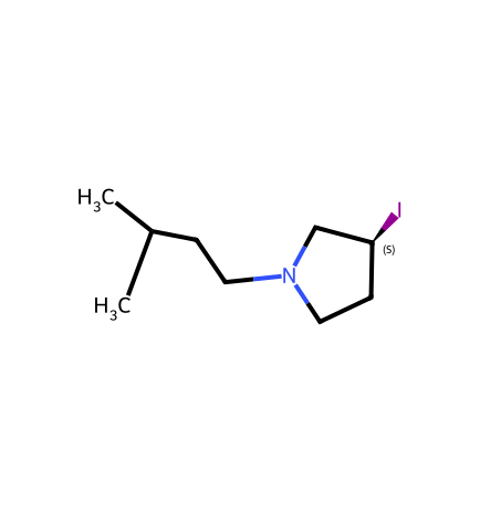 CC(C)CCN1CC[C@H](I)C1